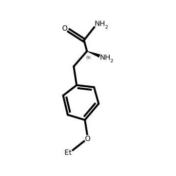 CCOc1ccc(C[C@H](N)C(N)=O)cc1